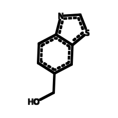 OCc1ccc2ncsc2c1